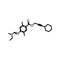 CCN(C)/C=N/c1cc(C)c(C(=O)OCC#CC2CCCCC2)cc1C